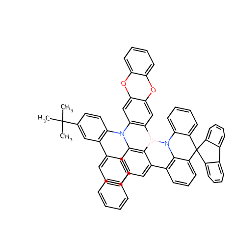 CC(C)(C)c1ccc(N2c3cc4c(cc3B3c5c(cc(-c6ccccc6)cc52)-c2cccc5c2N3c2ccccc2C52c3ccccc3-c3ccccc32)Oc2ccccc2O4)c(-c2ccccc2)c1